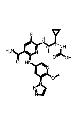 COc1ncc(Nc2nc(N[C@H](C)[C@@H](NC(=O)O)C3CC3)c(F)cc2C(N)=O)cc1-n1ccnn1